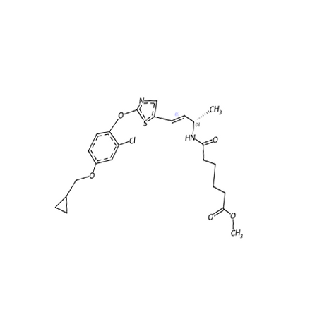 COC(=O)CCCCC(=O)N[C@@H](C)/C=C/c1cnc(Oc2ccc(OCC3CC3)cc2Cl)s1